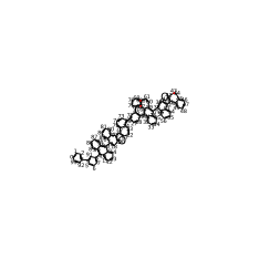 c1ccc(-c2cccc(-c3c4ccccc4c(-c4cc5oc6ccc7c(-c8ccc(-c9c%10ccccc%10c(-c%10cc%11oc%12ccc%13ccccc%13c%12c%11c%11ccccc%10%11)c%10ccccc9%10)c(-c9ccccc9)c8)cccc7c6c5c5ccccc45)c4ccccc34)c2)cc1